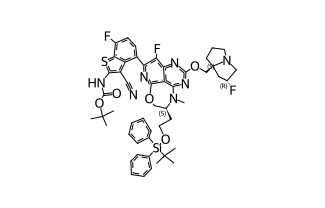 CN1c2nc(OC[C@@]34CCCN3C[C@H](F)C4)nc3c(F)c(-c4ccc(F)c5sc(NC(=O)OC(C)(C)C)c(C#N)c45)nc(c23)OC[C@@H]1CCO[Si](c1ccccc1)(c1ccccc1)C(C)(C)C